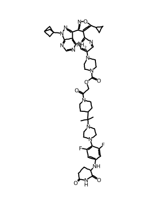 CC(C)(C1CCN(C(=O)COC(=O)N2CCN(c3cnc(-c4c(-c5nn(C67CC(C6)C7)c6ncnc(N)c56)noc4C4CC4)nc3)CC2)CC1)N1CCN(c2c(F)cc(NC3CCC(=O)NC3=O)cc2F)CC1